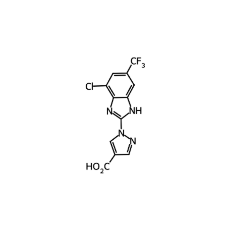 O=C(O)c1cnn(-c2nc3c(Cl)cc(C(F)(F)F)cc3[nH]2)c1